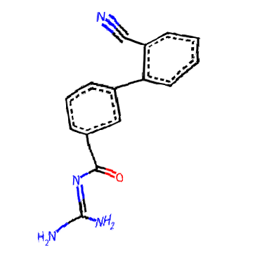 N#Cc1ccccc1-c1cccc(C(=O)N=C(N)N)c1